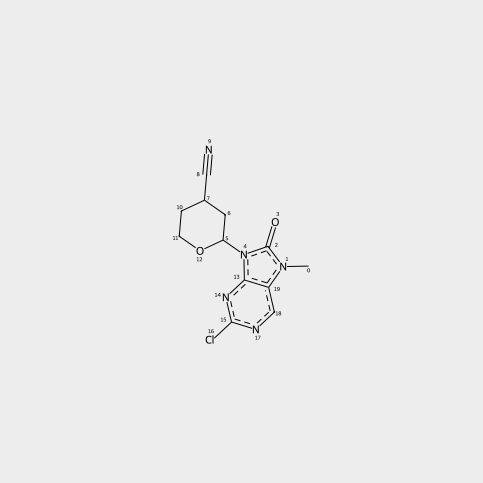 Cn1c(=O)n(C2CC(C#N)CCO2)c2nc(Cl)ncc21